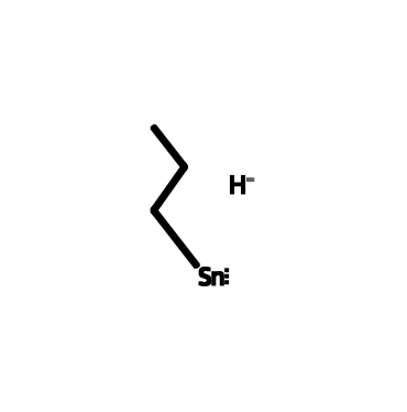 CC[CH2][Sn].[H-]